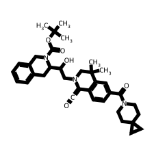 CC(C)(C)OC(=O)N1Cc2ccccc2CC1C(O)CN1CC(C)(C)c2cc(C(=O)N3CCC4(CC3)CC4)ccc2C1=C=O